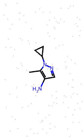 Cc1c(N)cnn1C1CC1